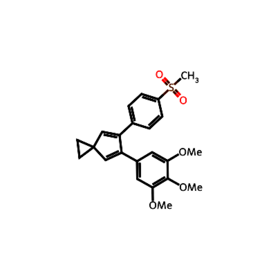 COc1cc(C2=CC3(C=C2c2ccc(S(C)(=O)=O)cc2)CC3)cc(OC)c1OC